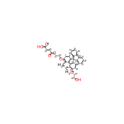 Cc1cc(C2(c3ccc(OCCOC(=O)C=CC(=O)O)c(C)c3)c3ccccc3-c3ccccc32)ccc1OCCO